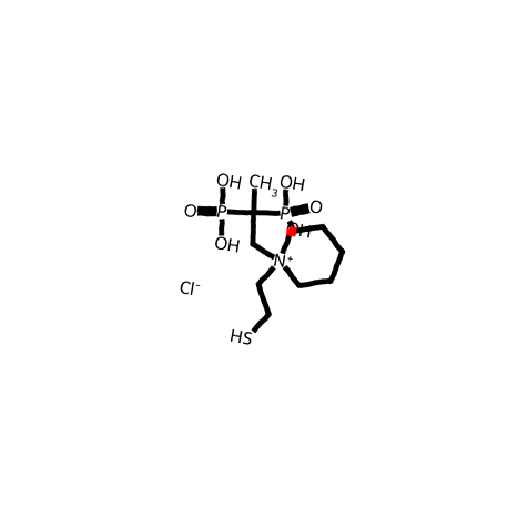 CC(C[N+]1(CCS)CCCCC1)(P(=O)(O)O)P(=O)(O)O.[Cl-]